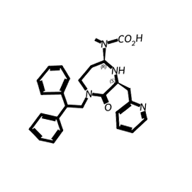 CN(C(=O)O)[C@@H]1CCN(CC(c2ccccc2)c2ccccc2)C(=O)[C@H](Cc2ccccn2)N1